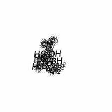 Bc1c(B)c2c(c(B)c1-c1cc3ccccc3c3ccccc13)Sc1c(O)c(-c3ccc4c(c3)c3ccccc3n4-c3ccccc3)c(O)c(O)c1N2c1cc2ccccc2c2ccccc12